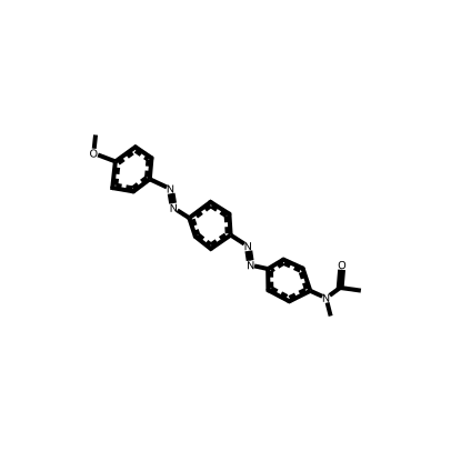 COc1ccc(N=Nc2ccc(N=Nc3ccc(N(C)C(C)=O)cc3)cc2)cc1